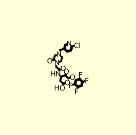 O=C(O)CC(NC(=O)CN1CCN(Cc2ccc(Cl)nc2)CC1=O)C(=O)COc1c(F)c(F)cc(F)c1F